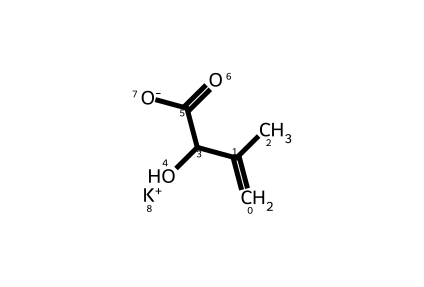 C=C(C)C(O)C(=O)[O-].[K+]